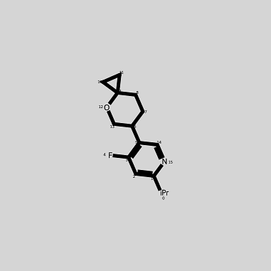 CC(C)c1cc(F)c(C2CCC3(CC3)OC2)cn1